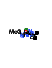 CCn1c(C(c2ccccc2)c2ccccc2)nc2nc(Cl)c(C(=O)Nc3cnn(CCOC)c3)cc21